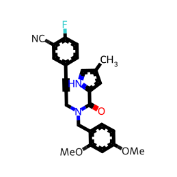 COc1ccc(CN(CC#Cc2ccc(F)c(C#N)c2)C(=O)c2cc(C)c[nH]2)c(OC)c1